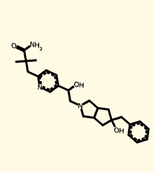 CC(C)(Cc1ccc(C(O)CN2CC3CC(O)(Cc4ccccc4)CC3C2)cn1)C(N)=O